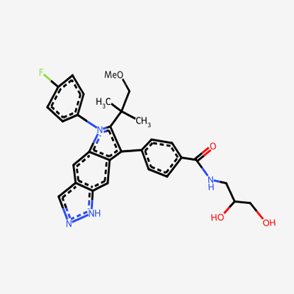 COCC(C)(C)c1c(-c2ccc(C(=O)NCC(O)CO)cc2)c2cc3[nH]ncc3cc2n1-c1ccc(F)cc1